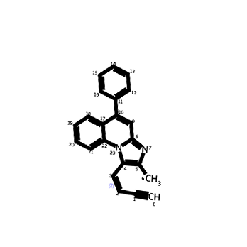 C#C/C=C\c1c(C)nc2cc(-c3ccccc3)c3ccccc3n12